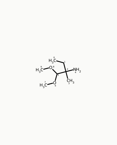 CCC(C)(N)C(OC)OC